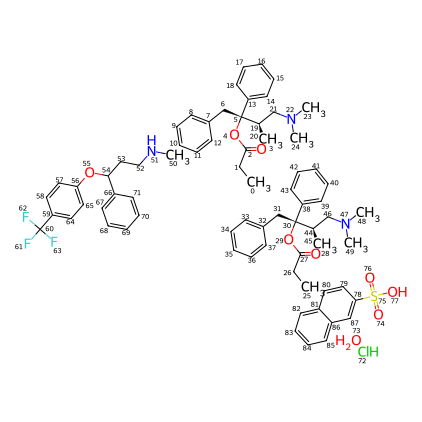 CCC(=O)O[C@](Cc1ccccc1)(c1ccccc1)[C@H](C)CN(C)C.CCC(=O)O[C@](Cc1ccccc1)(c1ccccc1)[C@H](C)CN(C)C.CNCCC(Oc1ccc(C(F)(F)F)cc1)c1ccccc1.Cl.O.O=S(=O)(O)c1ccc2ccccc2c1